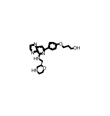 OCCCOc1ccc(-c2cc3nccnc3c(NC[C@@H]3CNCCO3)n2)cc1